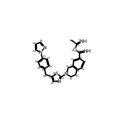 CC(=N)OC(=N)c1ccc2c(c1)CN(c1ncc(Cc3ccc(-n4cccn4)cc3)s1)CC2